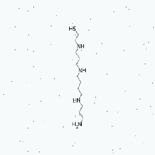 NCCCNCCCCNCCCNCCS